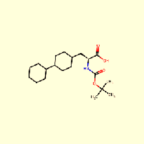 CC(C)(C)OC(=O)N[C@@H](CC1CCC(C2CCCCC2)CC1)C(=O)O